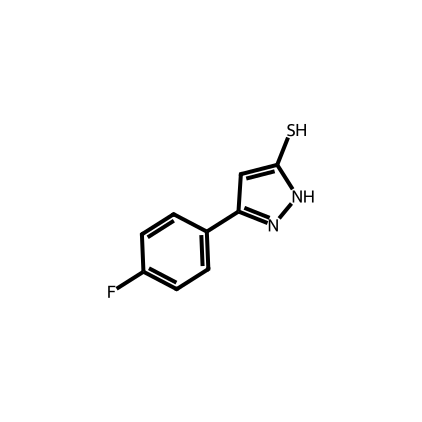 Fc1ccc(-c2cc(S)[nH]n2)cc1